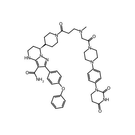 CN(CCC(=O)N1CCC([C@@H]2CCNc3c(C(N)=O)c(-c4ccc(Oc5ccccc5)cc4)nn32)CC1)CC(=O)N1CCN(c2ccc(N3CCC(=O)NC3=O)cc2)CC1